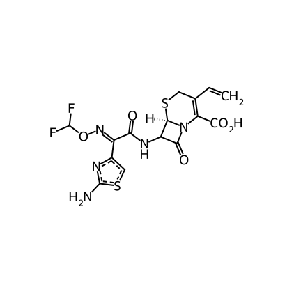 C=CC1=C(C(=O)O)N2C(=O)C(NC(=O)/C(=N/OC(F)F)c3csc(N)n3)[C@H]2SC1